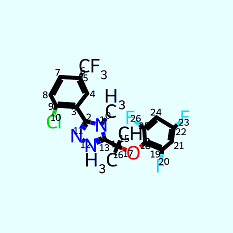 Cn1c(-c2cc(C(F)(F)F)ccc2Cl)nnc1C(C)(C)Oc1c(F)cc(F)cc1F